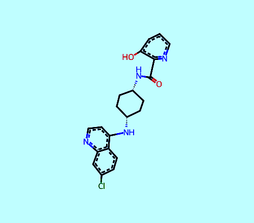 O=C(N[C@H]1CC[C@@H](Nc2ccnc3cc(Cl)ccc23)CC1)c1ncccc1O